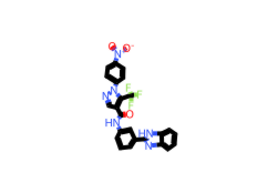 O=C(Nc1cccc(-c2nc3ccccc3[nH]2)c1)c1cnn(-c2ccc([N+](=O)[O-])cc2)c1C(F)(F)F